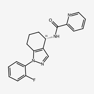 O=C(N[C@H]1CCCc2c1cnn2-c1ccccc1F)c1ccccn1